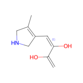 C=C(O)/C(O)=C\C1=C(C)CNC1